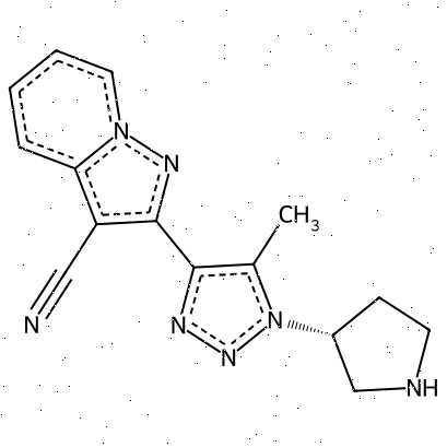 Cc1c(-c2nn3ccccc3c2C#N)nnn1[C@@H]1CCNC1